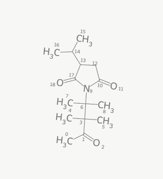 CC(=O)C(C)(C)C(C)(C)N1C(=O)CC(C(C)C)C1=O